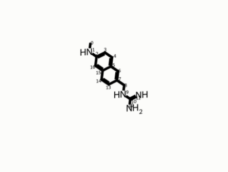 CNc1ccc2cc(CNC(=N)N)ccc2c1